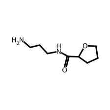 NCCCNC(=O)C1CCCO1